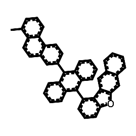 Cc1cccc2c1ccc1cc(-c3c4ccccc4c(-c4cccc5oc6cc7ccccc7cc6c45)c4ccccc34)ccc12